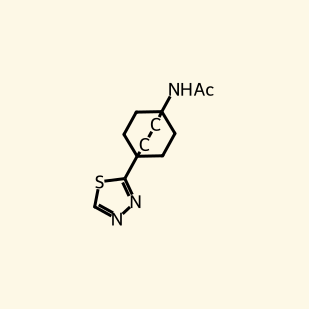 CC(=O)NC12CCC(c3nncs3)(CC1)CC2